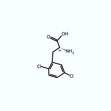 N[C@H](Cc1cc(Cl)ccc1Cl)C(=O)O